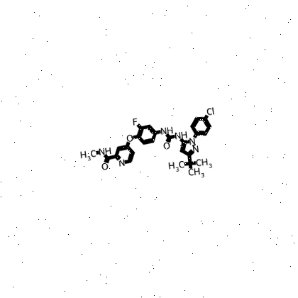 CNC(=O)c1cc(Oc2ccc(NC(=O)Nc3cc(C(C)(C)C)nn3-c3ccc(Cl)cc3)cc2F)ccn1